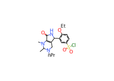 CCCN1CC2=C(C(=O)NC2c2cc(S(=O)(=O)Cl)ccc2OCC)N(C)C1C